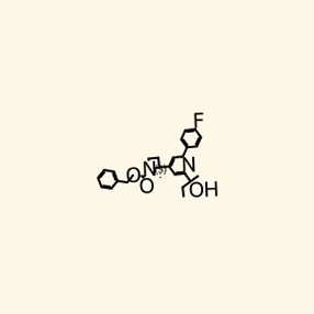 CCC(C)(O)c1cc([C@]2(C)CCN2C(=O)OCc2ccccc2)cc(-c2ccc(F)cc2)n1